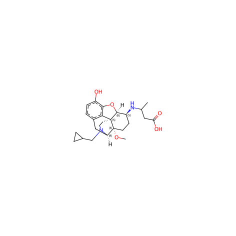 CO[C@@]12CC[C@H](NC(C)CC(=O)O)[C@@H]3Oc4c(O)ccc5c4[C@@]31CCN(CC1CC1)[C@@H]2C5